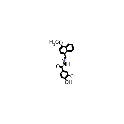 COc1ccc(/C=N/NC(=O)c2ccc(O)c(Cl)c2)c2ccccc12